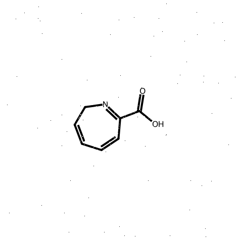 O=C(O)C1=NCC=CC=C1